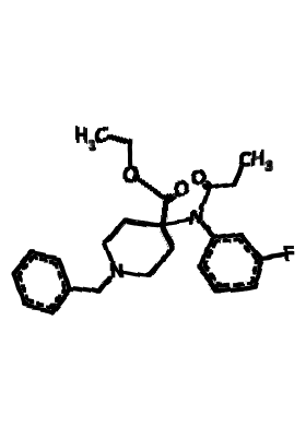 CCOC(=O)C1(N(C(=O)CC)c2cccc(F)c2)CCN(Cc2ccccc2)CC1